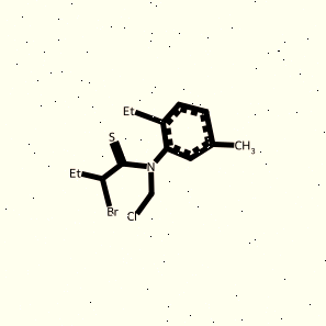 CCc1ccc(C)cc1N(CCl)C(=S)C(Br)CC